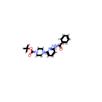 CC(C)(C)OC(=O)N1CCN(c2cccc(NC(=O)c3ccccc3)n2)CC1